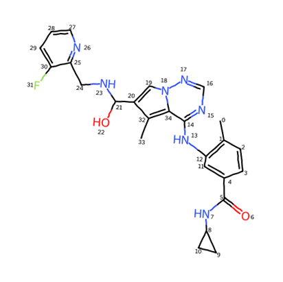 Cc1ccc(C(=O)NC2CC2)cc1Nc1ncnn2cc(C(O)NCc3ncccc3F)c(C)c12